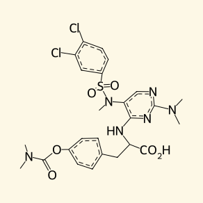 CN(C)C(=O)Oc1ccc(CC(Nc2nc(N(C)C)ncc2N(C)S(=O)(=O)c2ccc(Cl)c(Cl)c2)C(=O)O)cc1